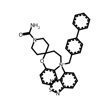 NC(=O)N1CCC2(CC1)CC[N+](Cc1ccc(-c3ccccc3)cc1)(c1cccc3nsnc13)c1ccccc1O2